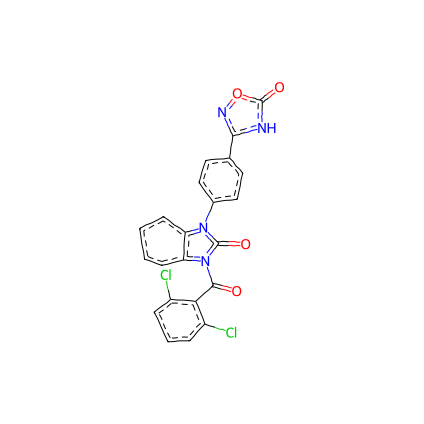 O=C(c1c(Cl)cccc1Cl)n1c(=O)n(-c2ccc(-c3noc(=O)[nH]3)cc2)c2ccccc21